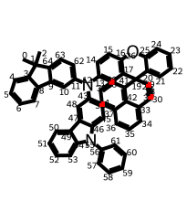 CC1(C)c2ccccc2-c2cc(N(c3ccc4c(c3)C3(c5ccccc5O4)c4ccccc4-c4cccc5cccc3c45)c3ccc4c(c3)c3ccccc3n4-c3ccccc3)ccc21